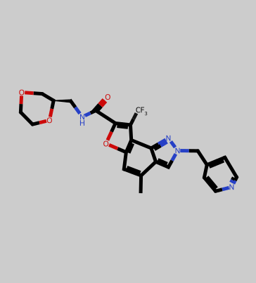 Cc1cc2oc(C(=O)NC[C@@H]3COCCO3)c(C(F)(F)F)c2c2nn(Cc3ccncc3)cc12